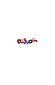 C=CCOc1ccc(CN(C/C=C/c2ccccc2)CC(C)O)cc1